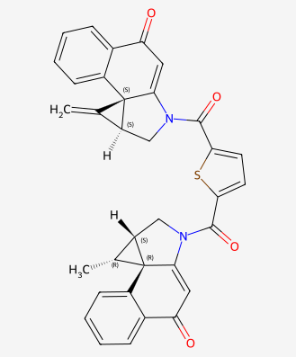 C=C1[C@@H]2CN(C(=O)c3ccc(C(=O)N4C[C@H]5[C@@H](C)[C@@]56C4=CC(=O)c4ccccc46)s3)C3=CC(=O)c4ccccc4[C@]132